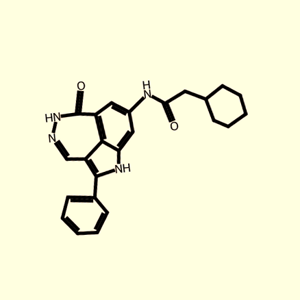 O=C(CC1CCCCC1)Nc1cc2c3c(c(-c4ccccc4)[nH]c3c1)C=NNC2=O